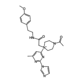 COc1ccc(CCNC(=O)C[N+]2(c3cc(C)nc(-n4ccnc4)n3)CCN(C(C)=O)CC2)cc1